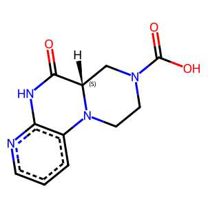 O=C1Nc2ncccc2N2CCN(C(=O)O)C[C@@H]12